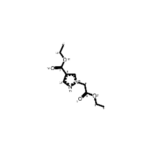 CCOC(=O)Cn1cc(C(=O)OCC)cn1